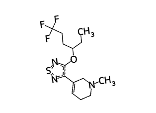 CCC(CCC(F)(F)F)Oc1nsnc1C1=CCCN(C)C1